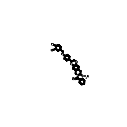 CCC(c1ccccc1)N1Cc2cc3c(cc2CC1C(=O)O)OCC(c1ccc(OCc2ccc(Cl)c(Cl)c2)cc1)O3